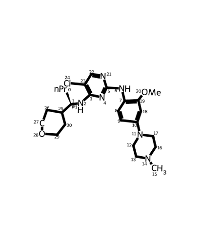 CCC[C@@H](Nc1nc(Nc2ccc(N3CCN(C)CC3)cc2OC)ncc1Cl)C1CCOCC1